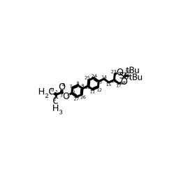 C=C(C)C(=O)Oc1ccc(-c2ccc(CCC3CO[Si](C(C)(C)C)(C(C)(C)C)OC3)cc2)cc1